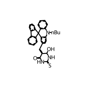 CCCCN1c2ccccc2C2(c3ccccc3-c3ccccc32)c2cc(/C=C3/C(=O)NC(=S)NC3O)ccc21